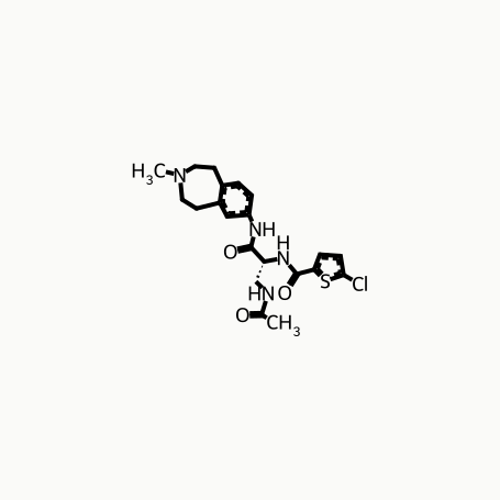 CC(=O)NC[C@@H](NC(=O)c1ccc(Cl)s1)C(=O)Nc1ccc2c(c1)CCN(C)CC2